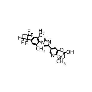 COc1ncc(-c2cn(-c3c(C)cc(C(F)(C(F)(F)F)C(F)(F)F)cc3C)nn2)cc1OC(=O)O